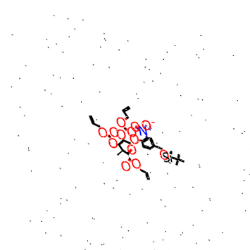 C=CCOC(=O)O[C@H]1[C@H](Oc2ccc(CO[Si](C)(C)C(C)(C)C)cc2[N+](=O)[O-])O[C@H](C(=O)OCC=C)[C@@H](C)[C@@H]1OC(=O)OCC=C